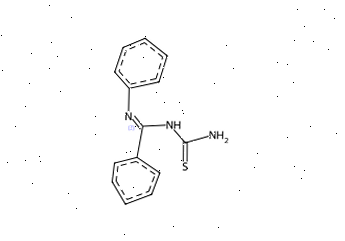 NC(=S)N/C(=N\c1ccccc1)c1ccccc1